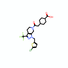 O=C(O)C1CCC(CC(=O)N2CCc3c(C(F)(F)F)nn(Cc4ccc(Cl)s4)c3C2)CC1